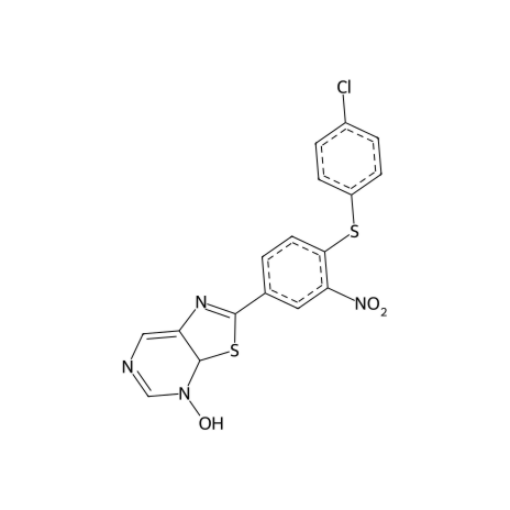 O=[N+]([O-])c1cc(C2=NC3=CN=CN(O)C3S2)ccc1Sc1ccc(Cl)cc1